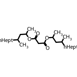 CCCCCCCC(C)CC(C)OC(=O)CC(=O)OC(C)CC(C)CCCCCCC